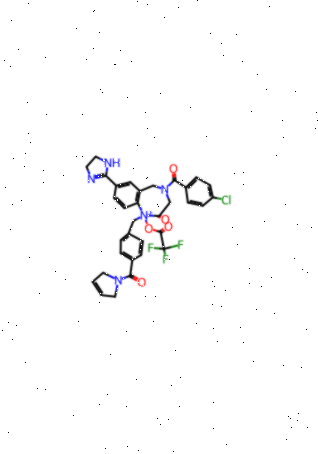 O=C(c1ccc(C[N+]2(OC(=O)C(F)(F)F)C(=O)CN(C(=O)c3ccc(Cl)cc3)Cc3cc(C4=NCCN4)ccc32)cc1)N1CC=CC1